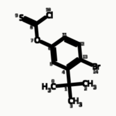 CC(C)(C)c1cc(OC(=S)Cl)ccc1Br